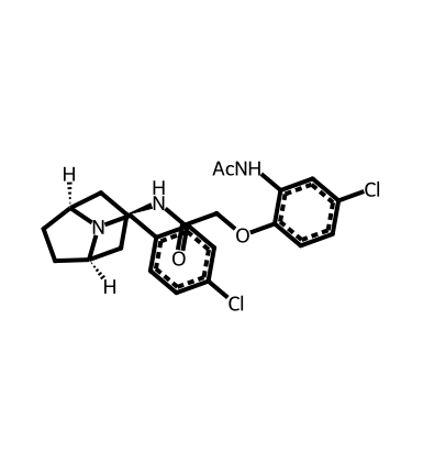 CC(=O)Nc1cc(Cl)ccc1OCC(=O)N[C@H]1C[C@H]2CC[C@@H](C1)N2Cc1ccc(Cl)cc1